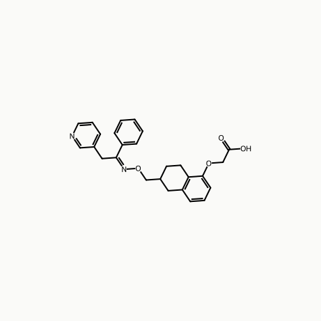 O=C(O)COc1cccc2c1CCC(CON=C(Cc1cccnc1)c1ccccc1)C2